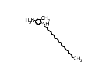 CCCCCCCCCCCCCCCCCCNc1ccc(N)cc1C